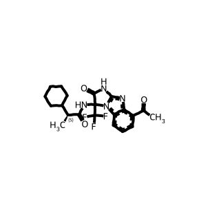 CC(=O)c1cccc2c1nc1n2C(NC(=O)[C@@H](C)C2CCCCC2)(C(F)(F)F)C(=O)N1